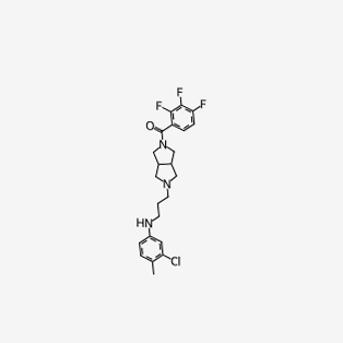 Cc1ccc(NCCCN2CC3CN(C(=O)c4ccc(F)c(F)c4F)CC3C2)cc1Cl